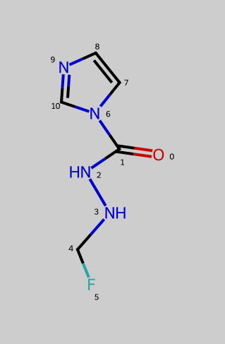 O=C(NNCF)n1ccnc1